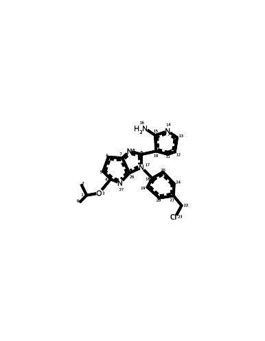 CC(C)Oc1ccc2nc(-c3cccnc3N)n(-c3ccc(CCl)cc3)c2n1